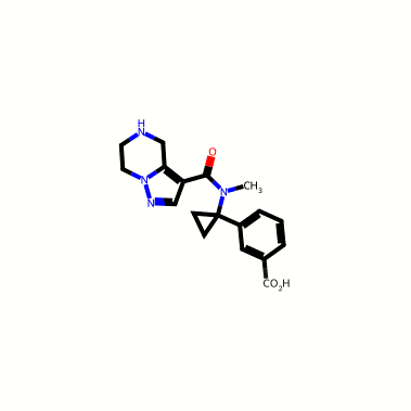 CN(C(=O)c1cnn2c1CNCC2)C1(c2cccc(C(=O)O)c2)CC1